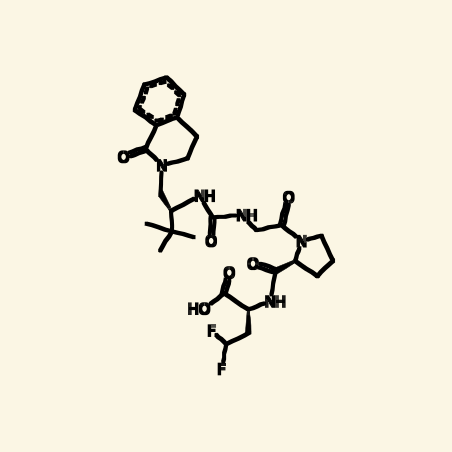 CC(C)(C)[C@@H](CN1CCc2ccccc2C1=O)NC(=O)NCC(=O)N1CCC[C@H]1C(=O)N[C@@H](CC(F)F)C(=O)O